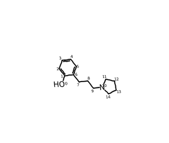 Oc1ccccc1CCCN1CCCC1